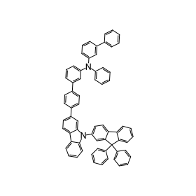 c1ccc(-c2cccc(N(c3ccccc3)c3cccc(-c4ccc(-c5ccc6c7ccccc7n(-c7ccc8c(c7)C(c7ccccc7)(c7ccccc7)c7ccccc7-8)c6c5)cc4)c3)c2)cc1